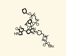 C[C@@H]1CN(CC2CCN(c3nc(C(COC(=O)N(C)CCN(C)C(=O)OCc4ccccc4)(OC4CC4)c4ccccc4)c4cc(-c5cn(C)c(=O)c6[nH]ccc56)ccc4n3)CC2)[C@@H](C)CN1C(=O)OC(C)(C)C